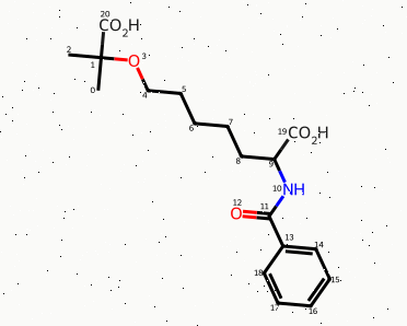 CC(C)(OCCCCCC(NC(=O)c1ccccc1)C(=O)O)C(=O)O